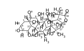 CC(=O)O[C@H]1[C@H]2O[C@H]2C[C@@H]2C(=O)[C@H](O)[C@@H]3[C@H]([C@H](C)[C@H](C)[C@@]4(C)[C@H]3[C@@H](O)[C@@H]3[C@@H]4[C@](C)(O)C=C4OC(=O)[C@@](C)(O)[C@@]43C)[C@]21C